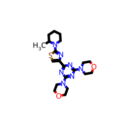 CC1CCCCN1c1nc(-c2nc(N3CCOCC3)nc(N3CCOCC3)n2)cs1